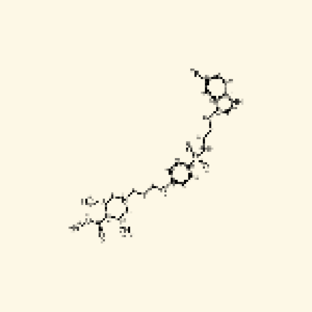 C[C@@H]1CN(CCCOc2ccc(S(=O)(=O)NCCCc3c[nH]c4ccc(F)cc34)cc2)C[C@H](C)N1C(=O)OC(C)(C)C